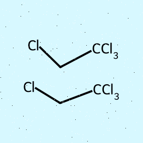 ClCC(Cl)(Cl)Cl.ClCC(Cl)(Cl)Cl